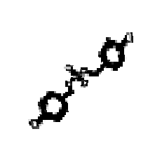 O=S(=O)(OCc1ccc(Cl)cc1)OCc1ccc(Cl)cc1